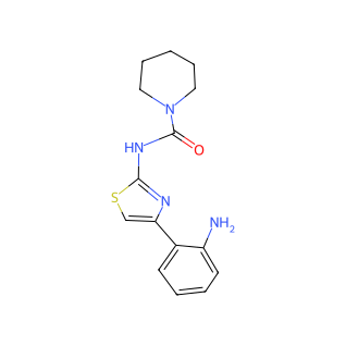 Nc1ccccc1-c1csc(NC(=O)N2CCCCC2)n1